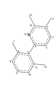 Cc1ccc(-c2c(C)cccc2C)nc1C